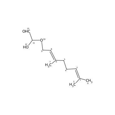 CC(C)=CCC/C(C)=C/COC(O)C=O